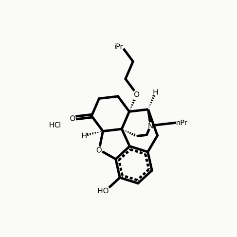 CCCN1CC[C@]23c4c5ccc(O)c4O[C@H]2C(=O)CC[C@@]3(OCCC(C)C)[C@H]1C5.Cl